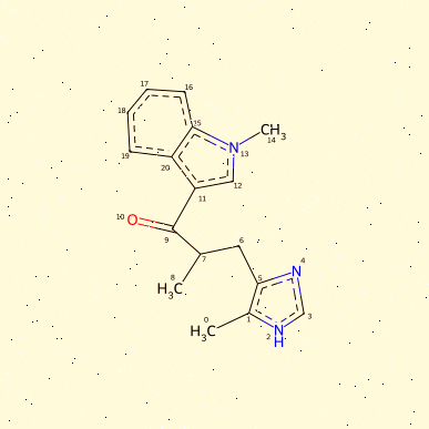 Cc1[nH]cnc1CC(C)C(=O)c1cn(C)c2ccccc12